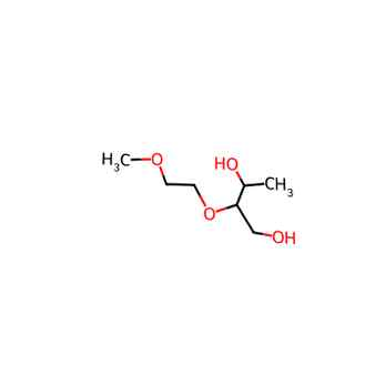 COCCOC(CO)C(C)O